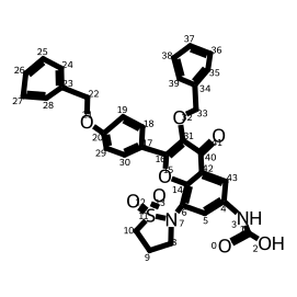 O=C(O)Nc1cc(N2CCCS2(=O)=O)c2oc(-c3ccc(OCc4ccccc4)cc3)c(OCc3ccccc3)c(=O)c2c1